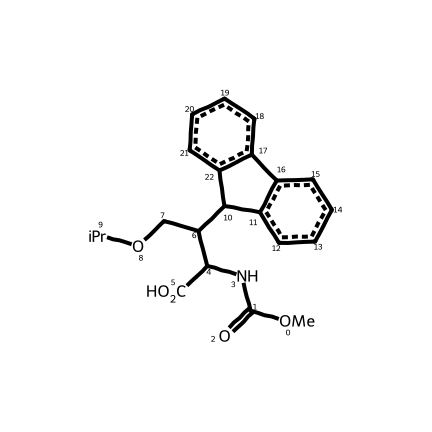 COC(=O)NC(C(=O)O)C(COC(C)C)C1c2ccccc2-c2ccccc21